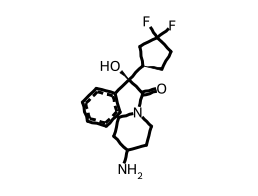 NC1CCN(C(=O)[C@](O)(c2ccccc2)[C@@H]2CCC(F)(F)C2)CC1